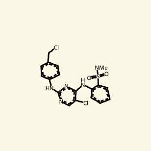 CNS(=O)(=O)c1ccccc1Nc1nc(Nc2ccc(CCl)cc2)ncc1Cl